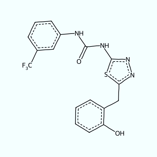 O=C(Nc1cccc(C(F)(F)F)c1)Nc1nnc(Cc2ccccc2O)s1